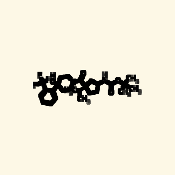 CC(C)[C@]1(C(=O)N2CCC(O)(c3ccccc3C(F)(F)F)CC2)CCC(NC(=O)OC(C)(C)C)C1